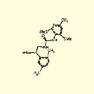 CCCCCCC(CNC(=O)Nc1c(SC)cc(C)nc1SC)c1cc(C)ccc1C